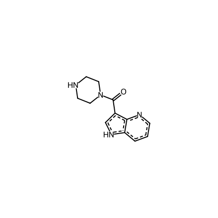 O=C(c1c[nH]c2cccnc12)N1CCNCC1